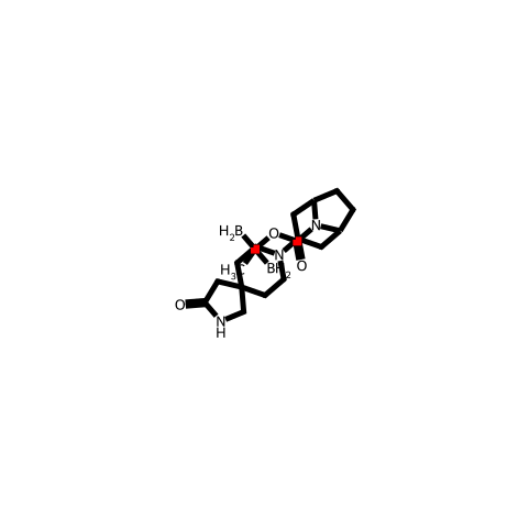 BC(B)(C)OC(=O)N1C2CCC1CC(N1CCC3(CC1)CNC(=O)C3)C2